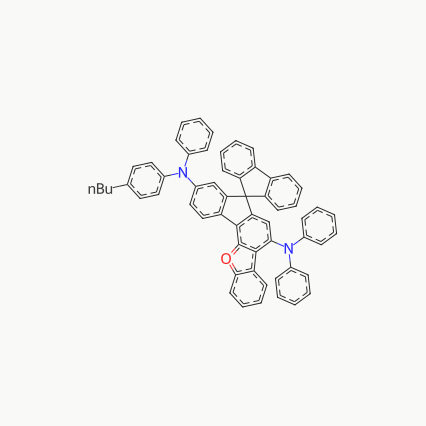 CCCCc1ccc(N(c2ccccc2)c2ccc3c(c2)C2(c4ccccc4-c4ccccc42)c2cc(N(c4ccccc4)c4ccccc4)c4c(oc5ccccc54)c2-3)cc1